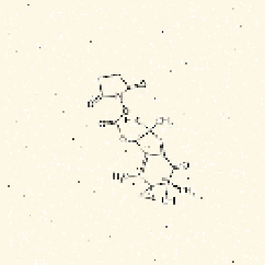 CC1=C2C(=CC(C)(C)C2OC(=O)ON2C(=O)CCC2=O)C(=O)[C@](C)(O)C12CC2